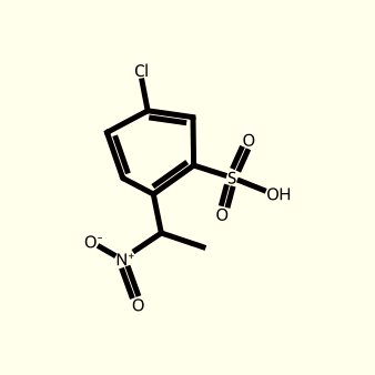 CC(c1ccc(Cl)cc1S(=O)(=O)O)[N+](=O)[O-]